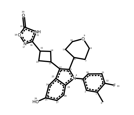 Cc1cc(-n2c(C3CCOCC3)c(C3CC(c4noc(=O)[nH]4)C3)c3cc(O)ccc32)ccc1F